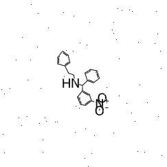 O=[N+]([O-])c1cccc(C(NCCc2ccccc2)c2ccccc2)c1